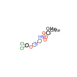 COc1ccc(S(=O)(=O)NC(=O)[C@H]2CC[C@H](N3CCC(Oc4ccc(Cl)c(Cl)c4)CC3)CC2)cc1OC